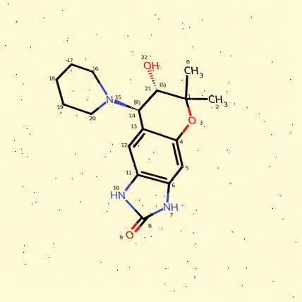 CC1(C)Oc2cc3[nH]c(=O)[nH]c3cc2[C@@H](N2CCCCC2)[C@@H]1O